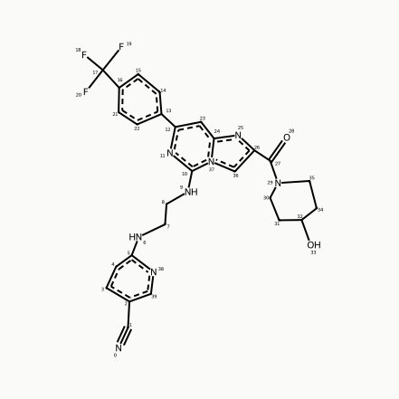 N#Cc1ccc(NCCNc2nc(-c3ccc(C(F)(F)F)cc3)cc3nc(C(=O)N4CCC(O)CC4)cn23)nc1